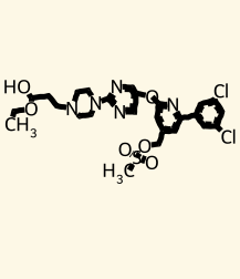 CCOC(O)CCN1CCN(c2ncc(Oc3cc(COS(C)(=O)=O)cc(-c4cc(Cl)cc(Cl)c4)n3)cn2)CC1